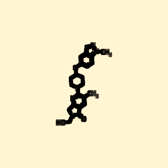 Cc1cc2c(nc1N1CCC(Oc3ccc4c(cnn4C)c3)CC1)CN(CO)C2=O